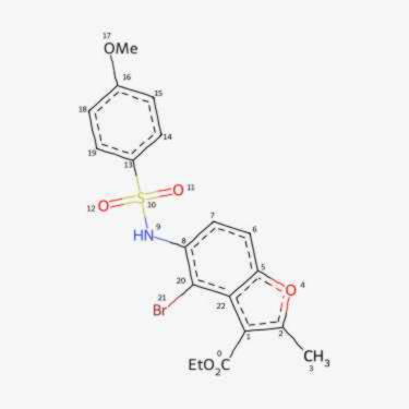 CCOC(=O)c1c(C)oc2ccc(NS(=O)(=O)c3ccc(OC)cc3)c(Br)c12